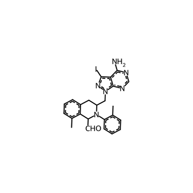 Cc1ccccc1N1C(Cn2nc(I)c3c(N)ncnc32)Cc2cccc(C)c2C1C=O